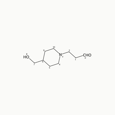 O=CCCN1CCC(CO)CC1